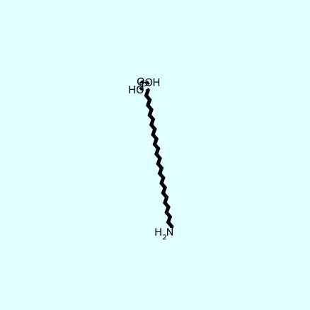 NCCCCCCCCCCCCCCCCCCCCCCCCCCCCCP(=O)(O)O